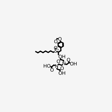 CCCCCCCC[S+]([O-])C(C)Cc1ccc2c(c1)OCO2.O=C(O)CN(CCN(CC(=O)O)CC(=O)O)CC(=O)O